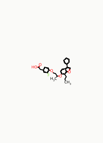 CCCc1c(OC(C)CCOc2ccc(CC(=O)O)cc2F)ccc2c(-c3ccccc3)coc12